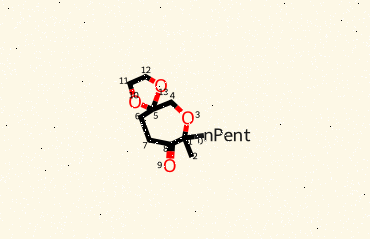 CCCCCC1(C)OCC2(CCC1=O)OCCO2